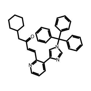 O=C(/C=C/c1ncccc1-c1cn(C(c2ccccc2)(c2ccccc2)c2ccccc2)cn1)CC1CCCCC1